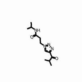 CC(C)NC(=O)CCn1cc(C(=O)C(C)C)nn1